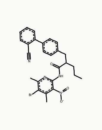 CCCC(Cc1ccc(-c2ccccc2C#N)cc1)C(=O)Nc1nc(C)c(Br)c(C)c1[N+](=O)[O-]